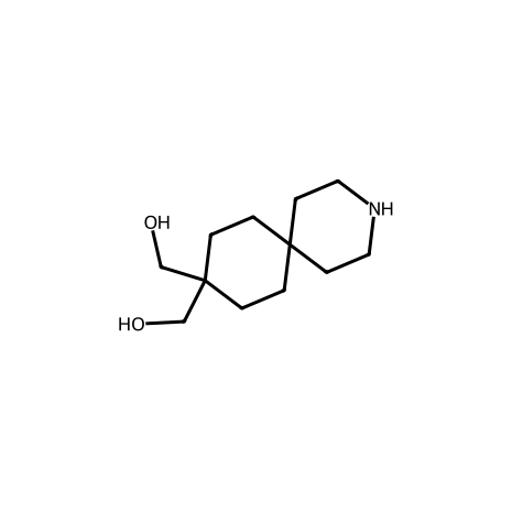 OCC1(CO)CCC2(CCNCC2)CC1